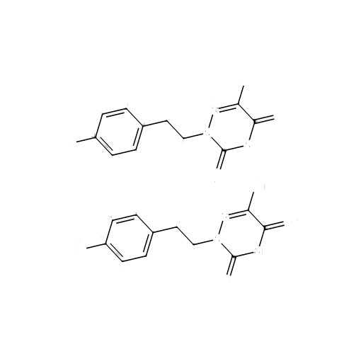 O=c1[nH]c(=O)n(CCc2ccc(O)cc2)nc1O.O=c1[nH]c(=O)n(CCc2ccc(O)cc2)nc1O